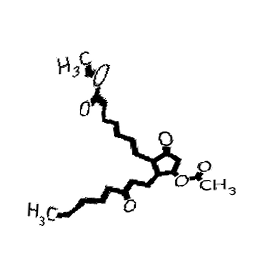 CCCCCC(=O)CCC1C(OC(C)=O)CC(=O)C1CCCCCCC(=O)OCC